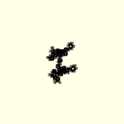 CC(C)(C)OC(=O)C[C@@H](C(=O)OC(C)(C)C)N(CCOCCOCCN([C@@H](CC(=O)OC(C)(C)C)C(=O)OC(C)(C)C)S(=O)(=O)NC(=O)OCc1ccccc1)S(=O)(=O)NC(=O)OCc1ccccc1